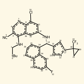 CC(C)(C)CNc1c(C#N)cnc2c(Cl)cc(N[C@H](c3cn(C4(C(F)(F)F)CC4)nn3)c3cccc4ncc(F)cc34)cc12